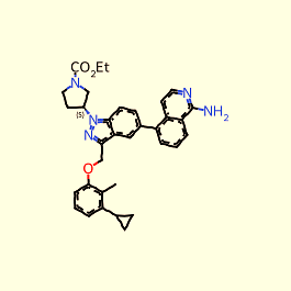 CCOC(=O)N1CC[C@H](n2nc(COc3cccc(C4CC4)c3C)c3cc(-c4cccc5c(N)nccc45)ccc32)C1